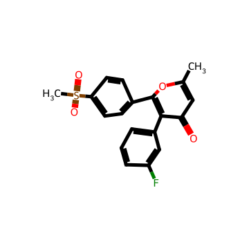 Cc1cc(=O)c(-c2cccc(F)c2)c(-c2ccc(S(C)(=O)=O)cc2)o1